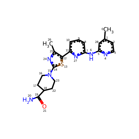 Cc1ccnc(Nc2cccc(-c3sc(N4CCC(C(N)=O)CC4)nc3C)n2)c1